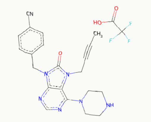 CC#CCn1c(=O)n(Cc2ccc(C#N)cc2)c2ncnc(N3CCNCC3)c21.O=C(O)C(F)(F)F